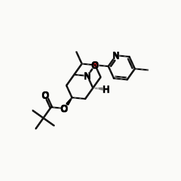 Cc1ccc(ON2C3C[C@H](OC(=O)C(C)(C)C)C[C@@H]2CCC3C)nc1